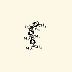 CC1CN(C(C)(C)CN2CCN(C(C)(C)N3CCN(C(C)C)CC3)CC2)CCO1